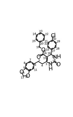 O=C1NC(CCc2ccc3c(c2)OCO3)=C(C(=O)OCc2ccccc2)C(c2ccc(Cl)cc2)N1